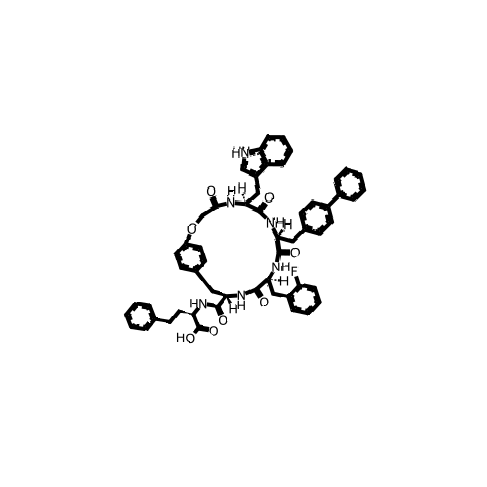 O=C1COc2ccc(cc2)C[C@@H](C(=O)N[C@H](CCc2ccccc2)C(=O)O)NC(=O)[C@H](Cc2ccccc2F)NC(=O)[C@@H](Cc2ccc(-c3ccccc3)cc2)NC(=O)[C@H](Cc2c[nH]c3ccccc23)N1